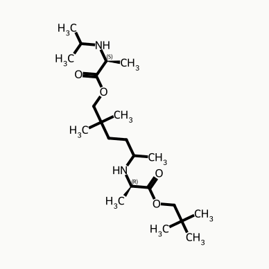 CC(C)N[C@@H](C)C(=O)OCC(C)(C)CCC(C)N[C@H](C)C(=O)OCC(C)(C)C